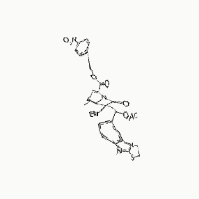 CC(=O)OC(c1ccc2nc3n(c2c1)CCS3)C1(Br)C(=O)N2C(C(=O)OCc3ccc([N+](=O)[O-])cc3)=CSC21